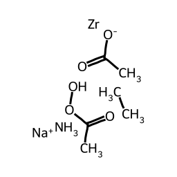 CC.CC(=O)OO.CC(=O)[O-].N.[Na+].[Zr]